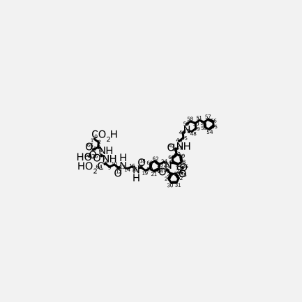 O=C(O)CCC(NC(=O)NC(CCC(=O)NCCNC(=O)Cc1ccc(CN2C(=O)c3ccccc3S(=O)(=O)c3ccc(C(=O)NCCCN4CCC(Cc5ccccc5)CC4)cc32)cc1)C(=O)O)C(=O)OO